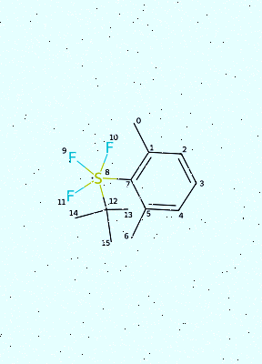 Cc1cccc(C)c1[S](F)(F)(F)C(C)(C)C